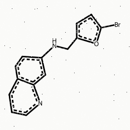 Brc1ccc(CNc2ccc3cccnc3c2)o1